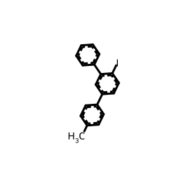 Cc1ccc(-c2ccc(I)c(-c3ccccc3)c2)cc1